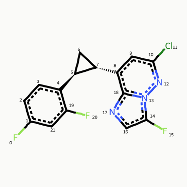 Fc1ccc([C@H]2C[C@@H]2c2cc(Cl)nn3c(F)cnc23)c(F)c1